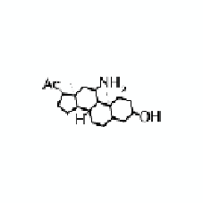 CC(=O)[C@H]1CCC2[C@@H]3CCC4C[C@H](O)CC[C@]4(C)C3[C@H](N)C[C@@]21C